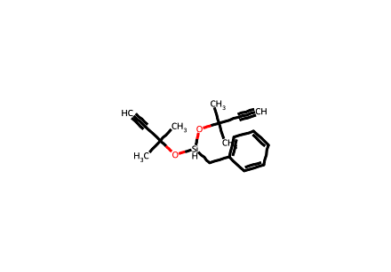 C#CC(C)(C)O[SiH](Cc1ccccc1)OC(C)(C)C#C